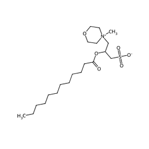 CCCCCCCCCCCC(=O)OC(C[N+]1(C)CCOCC1)CS(=O)(=O)[O-]